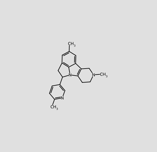 Cc1cc2c3c(c1)c1c(n3C(c3ccc(C)nc3)C2)CCN(C)C1